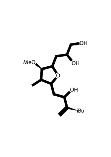 C=C(C(O)CC1OC(CC(O)CO)[C@H](OC)C1C)[C@H](C)CC